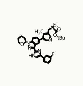 CCN(Cc1cncc(-c2ccc3c(c2)c(-c2nc(-c4cccc(F)c4)c[nH]2)nn3C2CCCCO2)c1C)C(=O)OC(C)(C)C